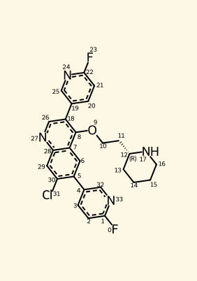 Fc1ccc(-c2cc3c(OCC[C@H]4CCCCN4)c(-c4ccc(F)nc4)cnc3cc2Cl)cn1